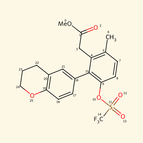 COC(=O)Cc1c(C)ccc(OS(=O)(=O)C(F)(F)F)c1-c1ccc2c(c1)CCCO2